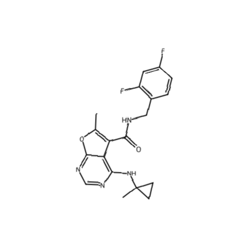 Cc1oc2ncnc(NC3(C)CC3)c2c1C(=O)NCc1ccc(F)cc1F